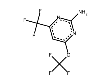 Nc1nc(OC(F)(F)F)cc(C(F)(F)F)n1